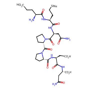 CSCC[C@H](NC(=O)[C@@H](N)CCC(=O)O)C(=O)N[C@@H](CC(N)=O)C(=O)N1CCC[C@H]1C(=O)N1CCC[C@H]1C(=O)N[C@@H](CC(=O)O)C(=O)N[C@@H](CC(N)=O)C(=O)O